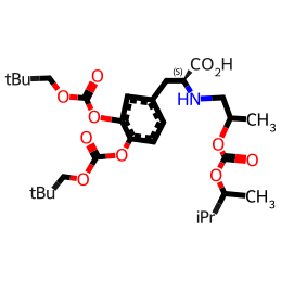 CC(CN[C@@H](Cc1ccc(OC(=O)OCC(C)(C)C)c(OC(=O)OCC(C)(C)C)c1)C(=O)O)OC(=O)OC(C)C(C)C